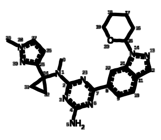 CN(c1nc(N)nc(-c2ccc3cnn(C4CCCCO4)c3c2)n1)C1(c2ccn(C)n2)CC1